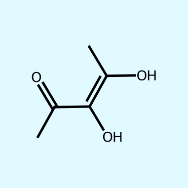 CC(=O)/C(O)=C(\C)O